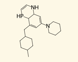 CC1CCC(CC2=CC(N3CCCCC3)=CC3NC=CPC23)CC1